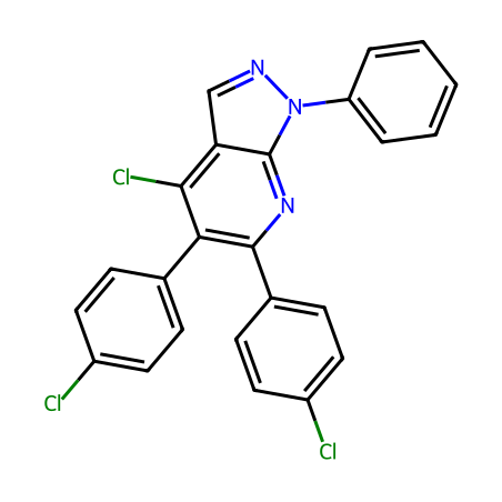 Clc1ccc(-c2nc3c(cnn3-c3ccccc3)c(Cl)c2-c2ccc(Cl)cc2)cc1